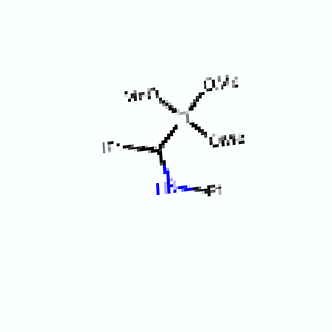 CCN[CH](C(C)C)[Ti]([O]C)([O]C)[O]C